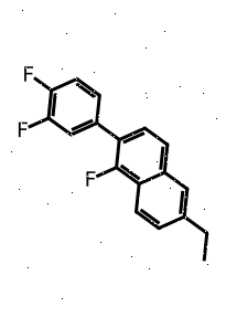 CCc1ccc2c(F)c(-c3ccc(F)c(F)c3)ccc2c1